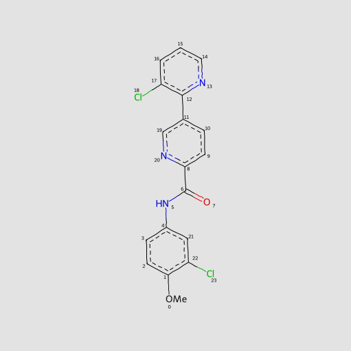 COc1ccc(NC(=O)c2ccc(-c3ncccc3Cl)cn2)cc1Cl